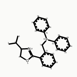 CC(C)C1COC(c2ccccc2CP(c2ccccc2)c2ccccc2)=N1